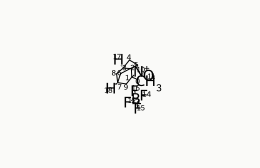 CC12C[C@@H]3CC(C[C@@H](C3)C1)[N+]2=O.F[B-](F)(F)F